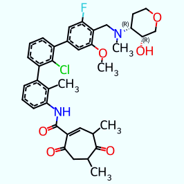 COc1cc(-c2cccc(-c3cccc(NC(=O)C4=CC(C)C(=O)C(C)CC4=O)c3C)c2Cl)cc(F)c1CN(C)[C@@H]1CCOC[C@@H]1O